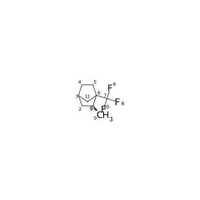 C[C@H]1CC2CCC1(C(F)(F)F)C2